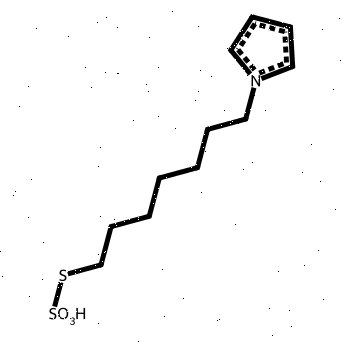 O=S(=O)(O)SCCCCCCCn1cccc1